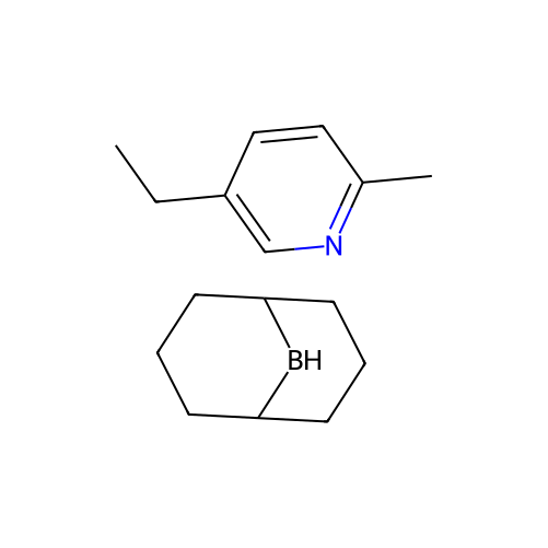 B1C2CCCC1CCC2.CCc1ccc(C)nc1